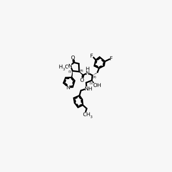 CCc1cccc(CNC[C@H](O)[C@@H](Cc2cc(F)cc(F)c2)NC(=O)[C@@H]2CC(=O)N(C)[C@@H]2c2ccncc2)c1